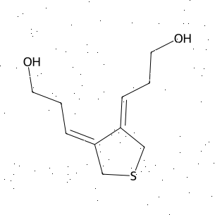 OCCC=C1CSCC1=CCCO